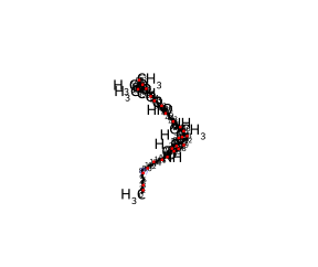 CCCCCCCC/C=C\CCCCCCCCNC(=O)O[C@@H]1CC[C@@]2(C)C(CCC3C4CCC(C(C)CCC(=O)NCCCCCC(=O)NCCOCCOCCO[C@H]5OC(CC)[C@@H](C)[C@H](C)C5C)[C@@]4(C)CCC32)C1